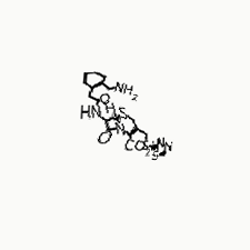 NCC1=C(CC(=O)NC2C(=O)N3C(C(=O)O)=C(CSc4nncs4)CS[C@@H]23)CCCC1